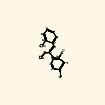 Fc1ccc(C(=Cc2ccccc2Cl)CCl)c(F)c1